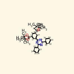 CC1(C)CB(c2cc(B3OC(C)(C)C(C)(C)O3)cc(-c3nc(-c4ccccc4)nc(-c4ccccc4)n3)c2)OC1(C)C